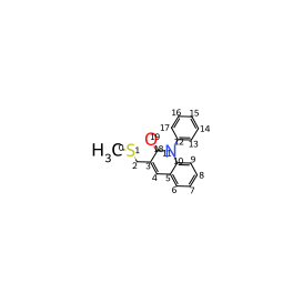 CSCc1cc2ccccc2n(-c2ccccc2)c1=O